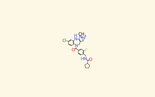 Cn1ncc2c1Nc1cc(Cl)ccc1N(C(=O)c1ccc(CNC(=O)C3CCCC3)c(F)c1)C2